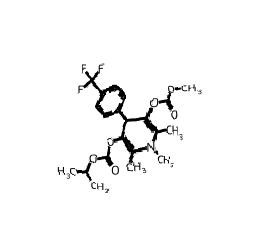 COC(=O)OC1=C(C)N(C)C(C)=C(OC(=O)OC(C)C)C1c1ccc(C(F)(F)F)cc1